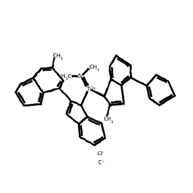 CC1=Cc2c(-c3ccccc3)cccc2[CH]1[Ti+2]([CH]1C(c2cc(C)cc3ccccc23)=Cc2ccccc21)=[Si](C)C.[Cl-].[Cl-]